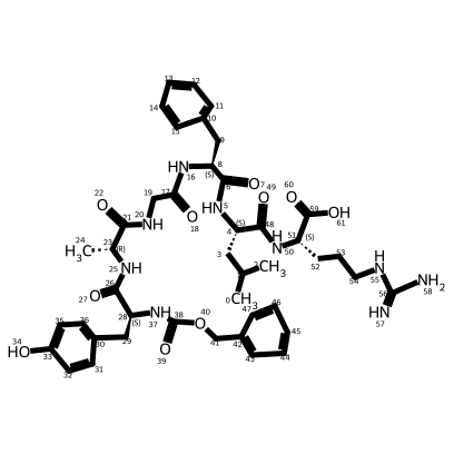 CC(C)C[C@H](NC(=O)[C@H](Cc1ccccc1)NC(=O)CNC(=O)[C@@H](C)NC(=O)[C@H](Cc1ccc(O)cc1)NC(=O)OCc1ccccc1)C(=O)N[C@@H](CCCNC(=N)N)C(=O)O